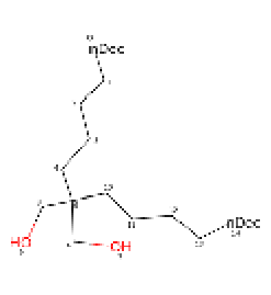 CCCCCCCCCCCCCCC(CO)(CO)CCCCCCCCCCCCCC